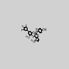 Cc1cc(-c2cc(F)c(F)c(F)c2)cc(C)c1Oc1nc(Nc2ccc(C#N)cc2)nc2ccn(C)c12